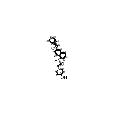 O=C(CN1CCC(O)CC1)Nc1cccc2cc(S(=O)(=O)N3CC4CC3CS4)ccc12